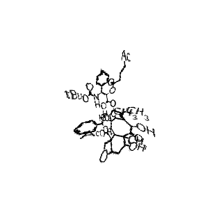 CC(=O)CCCC(=O)O[C@@H](C(=O)O[C@H]1CC2(O)[C@@H](OC(=O)c3ccccc3)[C@@H]3C4(COC(C)=O)COC4CC(O)C3(C)C(=O)C(O)C(=C1C)C2(C)C)C(NC(=O)OC(C)(C)C)c1ccccc1